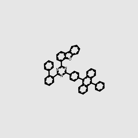 c1ccc(-c2ccccc2-c2nc(-c3ccc(-c4c5ccccc5c(-c5ccccc5)c5ccccc45)cc3)nc(-c3cccc4c3oc3ccccc34)n2)cc1